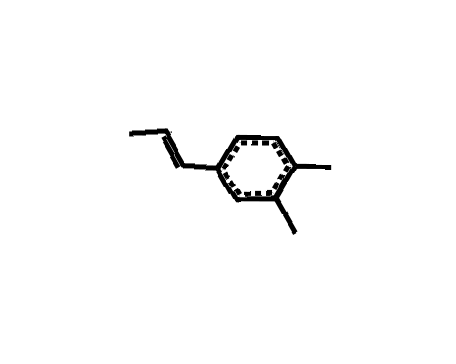 C[C]=Cc1ccc(C)c(C)c1